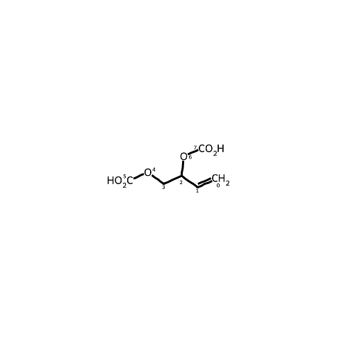 C=CC(COC(=O)O)OC(=O)O